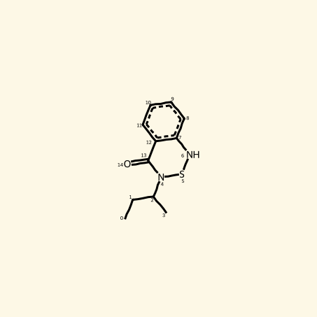 CCC(C)N1SNc2ccccc2C1=O